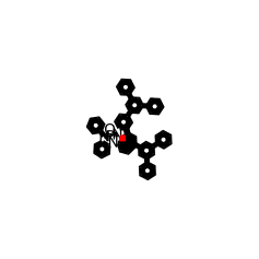 O=P1(n2c3ccc(-c4cc(-c5ccccc5)cc(-c5ccccc5)c4)cc3c3cc(-c4cc(-c5ccccc5)cc(-c5ccccc5)c4)ccc32)N(c2ccccc2)c2ccccc2N1c1ccccc1